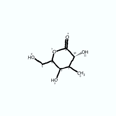 CC1C(O)C(CO)OC(=O)[C@@H]1O